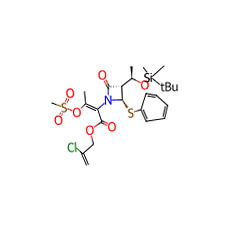 C=C(Cl)COC(=O)/C(=C(/C)OS(C)(=O)=O)N1C(=O)[C@H]([C@@H](C)O[Si](C)(C)C(C)(C)C)[C@H]1Sc1ccccc1